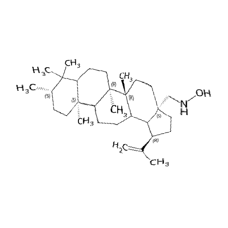 C=C(C)[C@@H]1CC[C@]2(CNO)CC[C@]3(C)C(CCC4[C@@]5(C)CC[C@H](C)C(C)(C)C5CC[C@]43C)C12